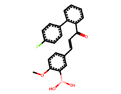 COc1ccc(/C=C/C(=O)c2ccccc2-c2ccc(F)cc2)cc1B(O)O